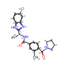 Cc1cc(C(=O)N[C@H](c2nc3cc(Cl)ccc3[nH]2)C(C)C)ccc1C(=O)N1CCCC1